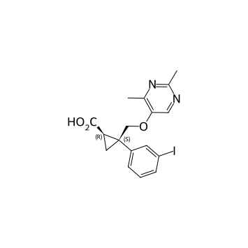 Cc1ncc(OC[C@@]2(c3cccc(I)c3)C[C@H]2C(=O)O)c(C)n1